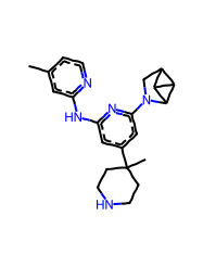 Cc1ccnc(Nc2cc(C3(C)CCNCC3)cc(N3CC4C5C4C53)n2)c1